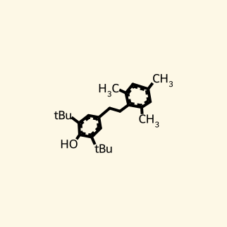 Cc1cc(C)c(CCc2cc(C(C)(C)C)c(O)c(C(C)(C)C)c2)c(C)c1